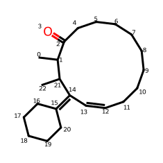 CC1C(=O)CCCCCCCCC=CC(=C2CCCCC2)C1C